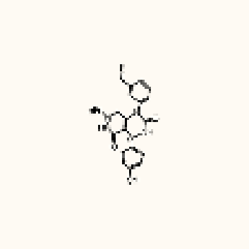 CCCN1CC2=C(C(=O)N1)[C@@H](c1ccc(C#N)cc1)NC(=O)N2c1cccc(CF)c1